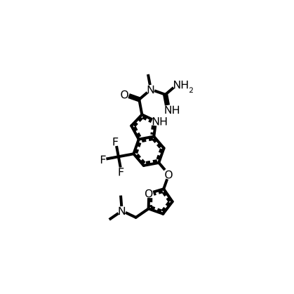 CN(C)Cc1ccc(Oc2cc(C(F)(F)F)c3cc(C(=O)N(C)C(=N)N)[nH]c3c2)o1